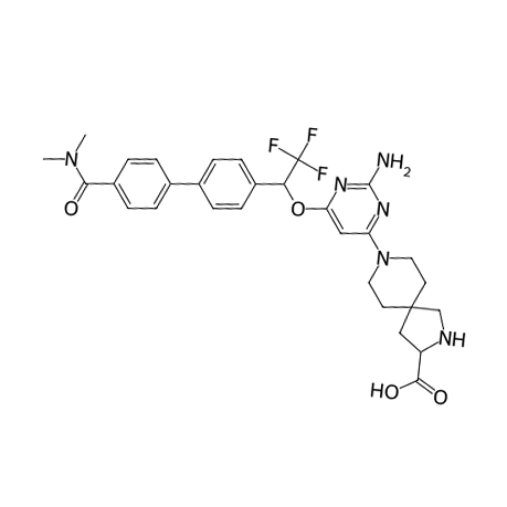 CN(C)C(=O)c1ccc(-c2ccc(C(Oc3cc(N4CCC5(CC4)CNC(C(=O)O)C5)nc(N)n3)C(F)(F)F)cc2)cc1